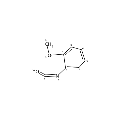 COc1cc[c]cc1N=C=O